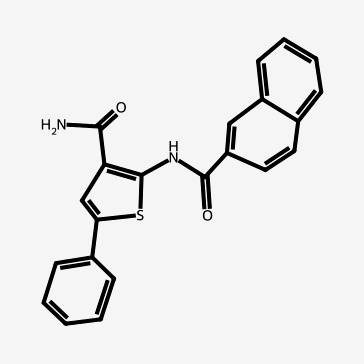 NC(=O)c1cc(-c2ccccc2)sc1NC(=O)c1ccc2ccccc2c1